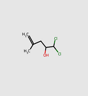 C=C(C)CC(O)C(Cl)Cl